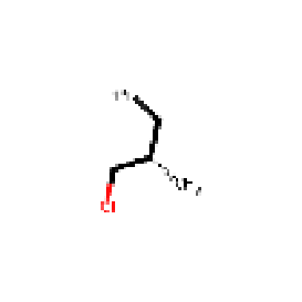 C[C](C)C[C@H](C)CO